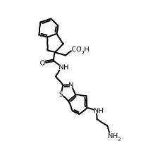 NCCNc1ccc2sc(CNC(=O)C3(CC(=O)O)Cc4ccccc4C3)nc2c1